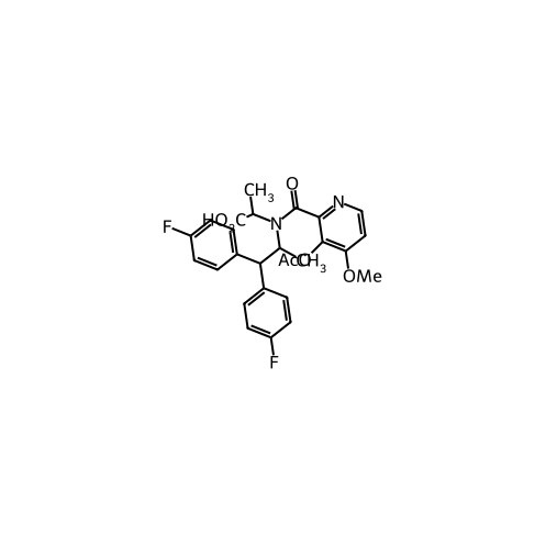 COc1ccnc(C(=O)N(C(C)C(=O)O)C(C)C(c2ccc(F)cc2)c2ccc(F)cc2)c1OC(C)=O